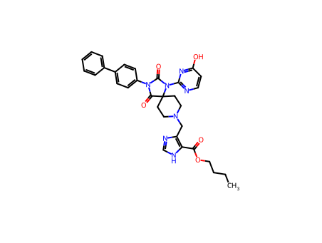 CCCCOC(=O)c1[nH]cnc1CN1CCC2(CC1)C(=O)N(c1ccc(-c3ccccc3)cc1)C(=O)N2c1nccc(O)n1